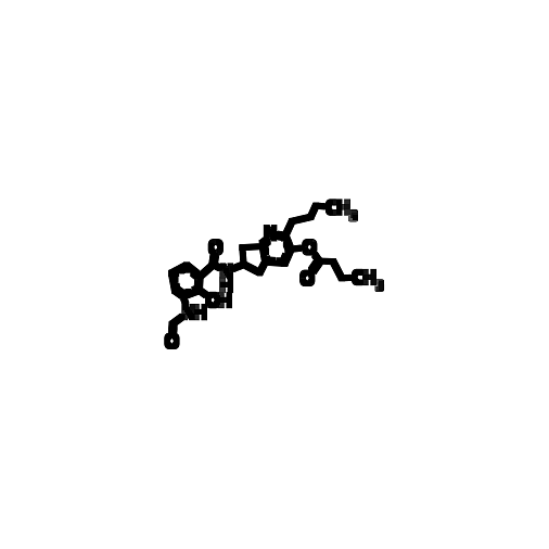 CCCCc1nc2c(cc1OC(=O)CCC)CC(NC(=O)c1cccc(NC=O)c1O)C2